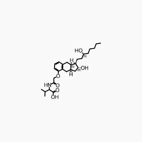 CCCCC[C@H](O)CC[C@@H]1[C@H]2Cc3cccc(OCC(=O)NC(C(=O)O)C(C)C)c3C[C@H]2C[C@H]1O